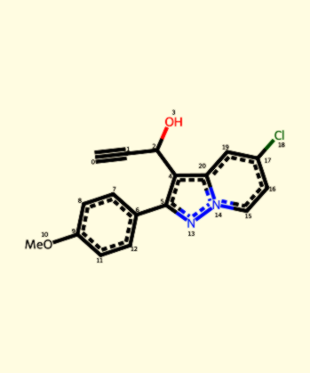 C#CC(O)c1c(-c2ccc(OC)cc2)nn2ccc(Cl)cc12